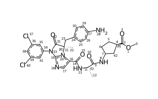 COC(=O)[C@@H]1CCC(NC(=O)[C@H](C)NC(=O)c2cnc3n2[C@](C)(Cc2ccc(N)cc2)C(=O)N3c2cc(Cl)cc(Cl)c2)C1